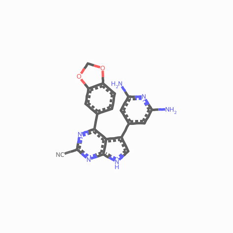 N#Cc1nc(-c2ccc3c(c2)OCO3)c2c(-c3cc(N)nc(N)c3)c[nH]c2n1